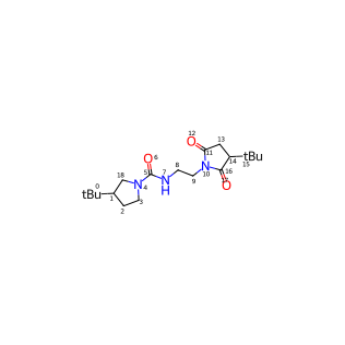 CC(C)(C)C1CCN(C(=O)NCCN2C(=O)CC(C(C)(C)C)C2=O)C1